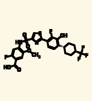 COc1cc(C(=O)O)c(F)cc1NS(=O)(=O)c1csc(-c2ccc([C@H]3CC[C@H](C(F)(F)F)CC3)c(O)c2F)n1